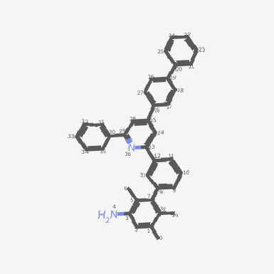 Cc1cc(N)c(C)c(-c2cccc(-c3cc(-c4ccc(-c5ccccc5)cc4)cc(-c4ccccc4)n3)c2)c1C